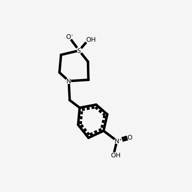 O=[N+](O)c1ccc(CN2CCS([O-])(O)CC2)cc1